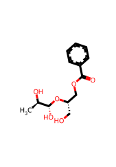 C[C@@H](O)[C@@H](O)O[C@@H](CO)COC(=O)c1ccccc1